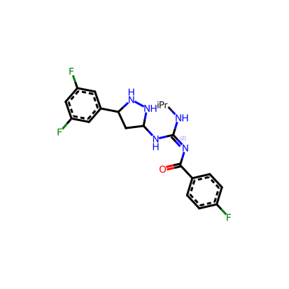 CC(C)N/C(=N/C(=O)c1ccc(F)cc1)NC1CC(c2cc(F)cc(F)c2)NN1